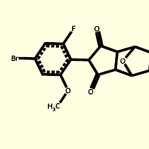 COc1cc(Br)cc(F)c1C1C(=O)C2C3CCC(O3)C2C1=O